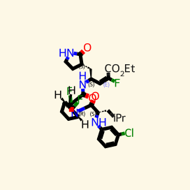 CCOC(=O)/C(F)=C\[C@H](C[C@@H]1CCNC1=O)NC(=O)[C@H]1[C@H]2CC[C@H](CC2(F)F)N1C(=O)[C@H](CC(C)C)Nc1cccc(Cl)c1